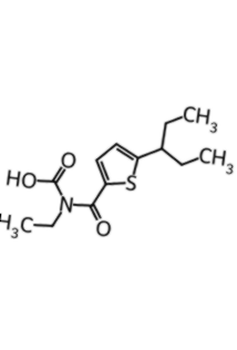 CCC(CC)c1ccc(C(=O)N(CC)C(=O)O)s1